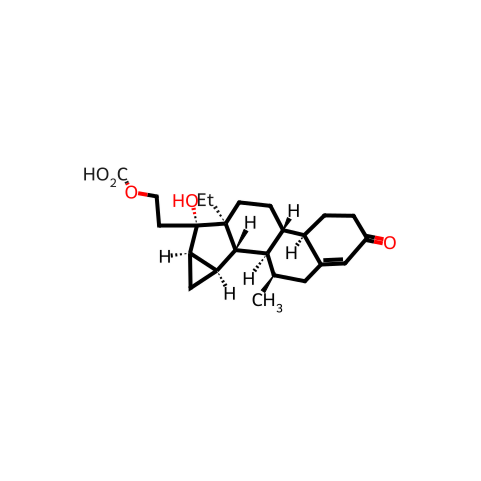 CC[C@]12CC[C@H]3[C@H]([C@@H]1[C@H]1C[C@H]1[C@@]2(O)CCOC(=O)O)[C@H](C)CC1=CC(=O)CC[C@@H]13